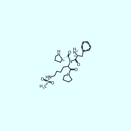 CS(=O)(=O)NCCCCC(C(=O)N1CCCC1)N(C(=O)[C@@H]1CCCN1)C(=O)[C@@H](N)Cc1ccccc1